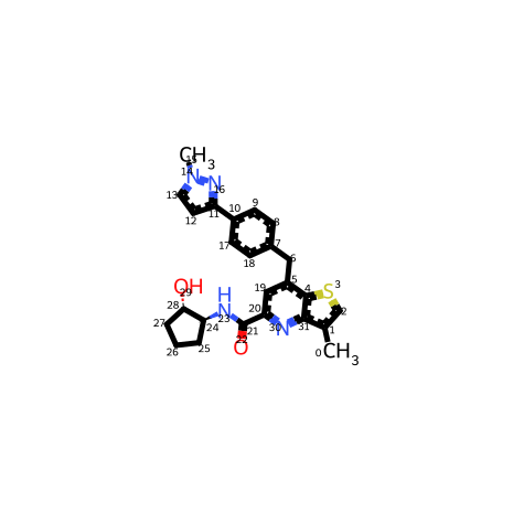 Cc1csc2c(Cc3ccc(-c4ccn(C)n4)cc3)cc(C(=O)N[C@H]3CCC[C@@H]3O)nc12